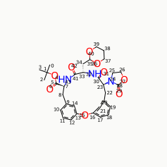 CC(C)(C)OC(=O)[C@@H]1Cc2cccc(c2)Oc2cccc(c2)C[C@H](N2CCOC2=O)C(=O)N[C@@H](CC2OCCCO2)C(=O)N1